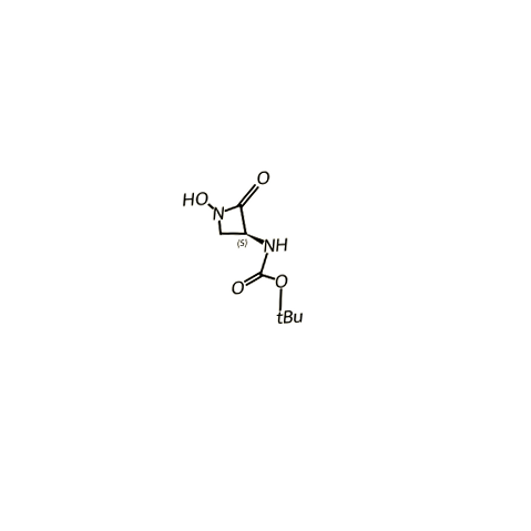 CC(C)(C)OC(=O)N[C@H]1CN(O)C1=O